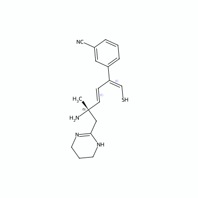 C[C@@](N)(/C=C/C(=C\S)c1cccc(C#N)c1)CC1=NCCCN1